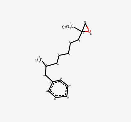 CCOC(=O)C1(CCCCCC(C)Cc2ccccc2)CO1